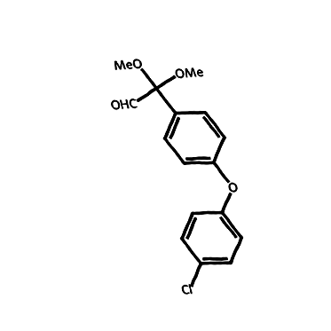 COC(C=O)(OC)c1ccc(Oc2ccc(Cl)cc2)cc1